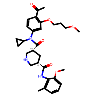 COCCCOc1cc(N(C(=O)[C@H]2CNC[C@@H](C(=O)Nc3c(C)cccc3OC)C2)C2CC2)ccc1C(C)=O